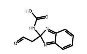 O=CCC1(NC(=O)O)N=c2ccccc2=N1